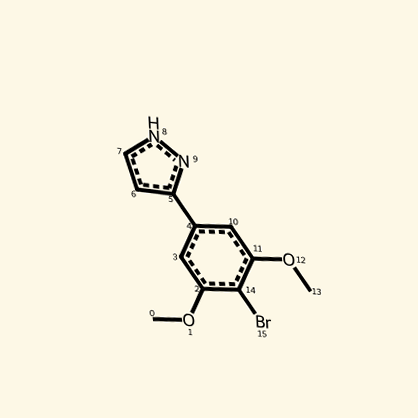 COc1cc(-c2cc[nH]n2)cc(OC)c1Br